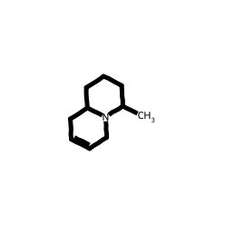 CC1CCCC2CC=CCN12